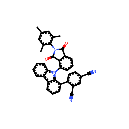 Cc1cc(C)c(N2C(=O)c3cccc(-n4c5ccccc5c5cccc(-c6ccc(C#N)cc6C#N)c54)c3C2=O)c(C)c1